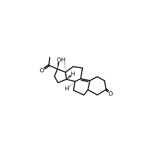 CC(=O)[C@@]1(O)CC[C@H]2[C@@H]3CCC4CC(=O)CCC4=C3CC[C@@]21C